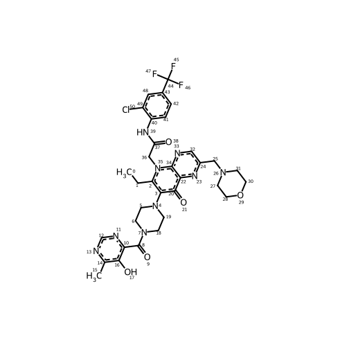 CCc1c(N2CCN(C(=O)c3ncnc(C)c3O)CC2)c(=O)c2nc(CN3CCOCC3)cnc2n1CC(=O)Nc1ccc(C(F)(F)F)cc1Cl